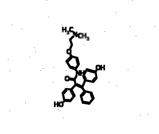 CN(C)CCOc1ccc(NC(=O)C(=C(c2ccccc2)c2ccc(O)cc2)c2ccc(O)cc2)cc1